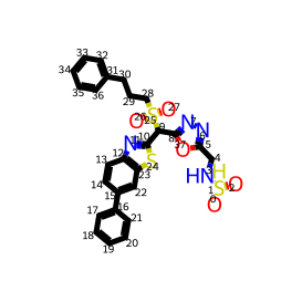 O=[SH](=O)NCc1nnc(C(c2nc3ccc(-c4ccccc4)cc3s2)S(=O)(=O)CCCc2ccccc2)o1